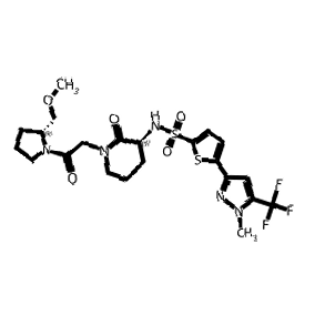 COC[C@H]1CCCN1C(=O)CN1CCC[C@H](NS(=O)(=O)c2ccc(-c3cc(C(F)(F)F)n(C)n3)s2)C1=O